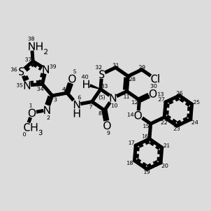 CON=C(C(=O)NC1C(=O)N2C(C(=O)OC(c3ccccc3)c3ccccc3)=C(CCl)CS[C@@H]12)c1nsc(N)n1